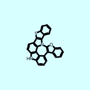 c1ccc2c(c1)oc1c2c2cccc3[nH]c4ccc5c6sc7ccccc7c6n1c5c4c32